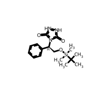 CC(C)(C)[Si](C)(C)OC[C@@H](c1ccccc1)n1c(=O)[nH][nH]c1=O